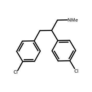 CNCC(Cc1ccc(Cl)cc1)c1ccc(Cl)cc1